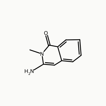 Cn1c(N)cc2ccccc2c1=O